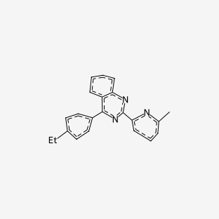 CCc1ccc(-c2nc(-c3cccc(C)n3)nc3ccccc23)cc1